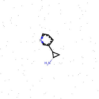 N[C@H]1CC1c1cccnc1